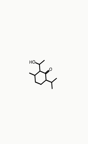 CC(C)C1CCC(C)C(C(C)O)C1=O